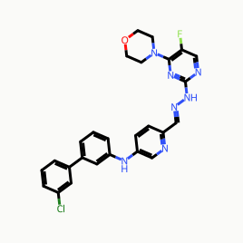 Fc1cnc(N/N=C/c2ccc(Nc3cccc(-c4cccc(Cl)c4)c3)cn2)nc1N1CCOCC1